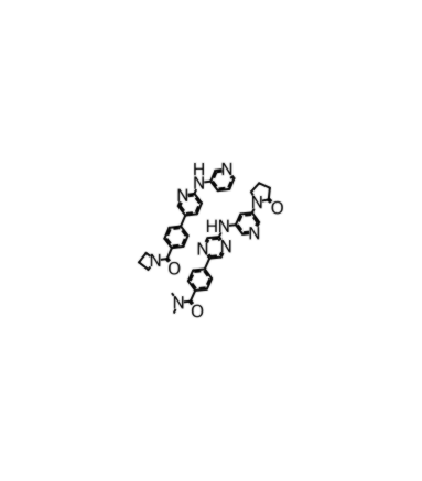 CN(C)C(=O)c1ccc(-c2cnc(Nc3cncc(N4CCCC4=O)c3)cn2)cc1.O=C(c1ccc(-c2ccc(Nc3cccnc3)nc2)cc1)N1CCC1